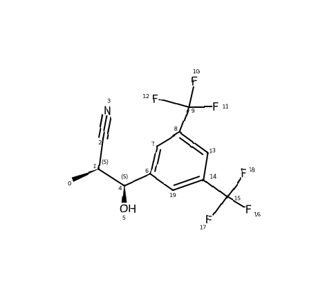 C[C@@H](C#N)[C@H](O)c1cc(C(F)(F)F)cc(C(F)(F)F)c1